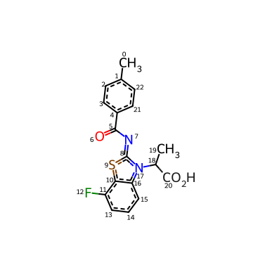 Cc1ccc(C(=O)N=c2sc3c(F)cccc3n2C(C)C(=O)O)cc1